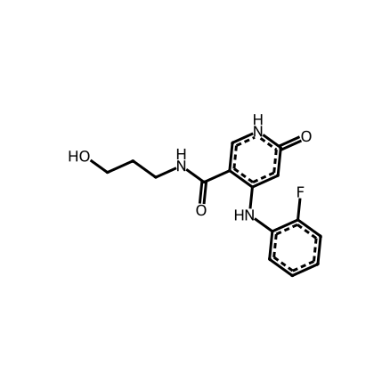 O=C(NCCCO)c1c[nH]c(=O)cc1Nc1ccccc1F